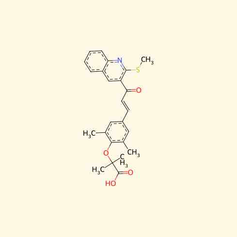 CSc1nc2ccccc2cc1C(=O)C=Cc1cc(C)c(OC(C)(C)C(=O)O)c(C)c1